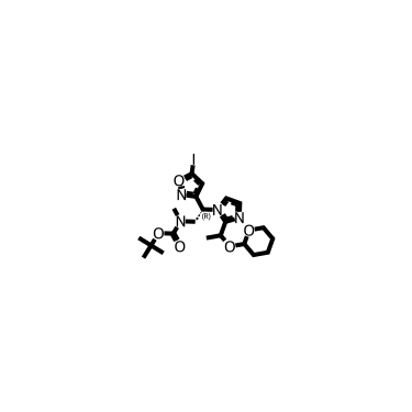 CC(OC1CCCCO1)c1nccn1[C@H](CN(C)C(=O)OC(C)(C)C)c1cc(I)on1